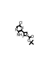 CC(C)(C)OC(=O)N1CC(c2nc(Cl)cnc2N)C1